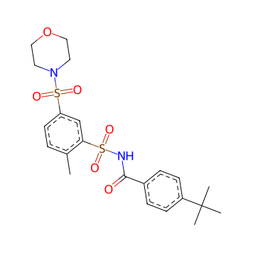 Cc1ccc(S(=O)(=O)N2CCOCC2)cc1S(=O)(=O)NC(=O)c1ccc(C(C)(C)C)cc1